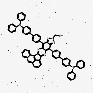 CC(C)Cn1nc2c(-c3ccc(-c4ccc(N(c5ccccc5)c5ccccc5)cc4)cc3)c3nc4c(nc3c(-c3ccc(-c5ccc(N(c6ccccc6)c6ccccc6)cc5)cc3)c2n1)-c1c2ccccc2cc2cccc-4c12